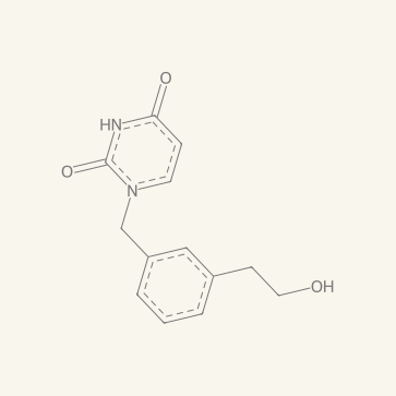 O=c1ccn(Cc2cccc(CCO)c2)c(=O)[nH]1